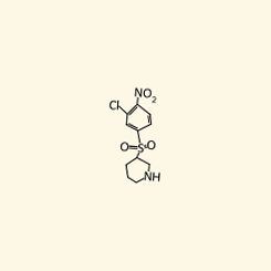 O=[N+]([O-])c1ccc(S(=O)(=O)C2CCCNC2)cc1Cl